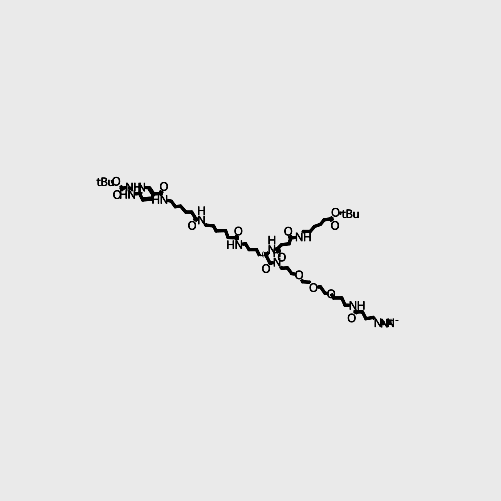 CC(C)(C)OC(=O)CCCCCNC(=O)CCC(=O)N[C@@H](CCCCNC(=O)CCCCCNC(=O)CCCCCNC(=O)c1ccc(NNC(=O)OC(C)(C)C)nc1)C(=O)NCCCOCCOCCOCCCNC(=O)CCCN=[N+]=[N-]